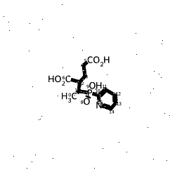 CC(C(CCC(=O)O)C(=O)O)P(=O)(O)c1ccccn1